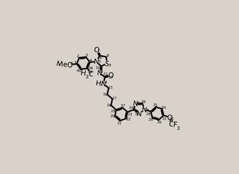 COc1ccc(N2C(=O)CS/C2=N\C(=O)NCCCCc2cccc(-c3ncn(-c4ccc(OC(F)(F)F)cc4)n3)c2)c(C)c1